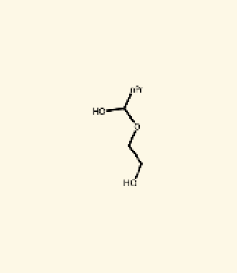 [CH2]CCC(O)OCCO